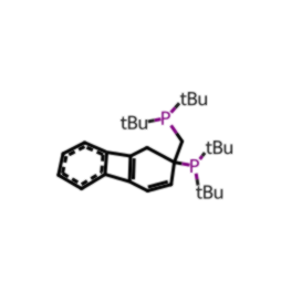 CC(C)(C)P(CC1(P(C(C)(C)C)C(C)(C)C)C=CC2=C(C1)c1ccccc12)C(C)(C)C